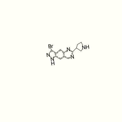 Brc1n[nH]c2cc3cnc(C4CCNC4)nc3cc12